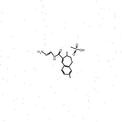 CS(=O)(=O)O.Cc1ccc2c(c1)CCC(C)C(C(=O)NC=NN)=C2